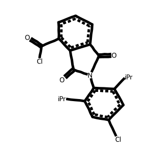 CC(C)c1cc(Cl)cc(C(C)C)c1N1C(=O)c2cccc(C(=O)Cl)c2C1=O